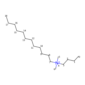 [CH2]CCC[N+](C)(C)CCCCCCCCCCCC